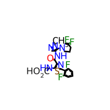 Cn1ncc(NC(=O)c2nc(-c3c(F)cccc3F)sc2NC(=O)O)c1N1CCCC(F)(F)C1